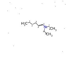 CCCCC=CN(CC)CC